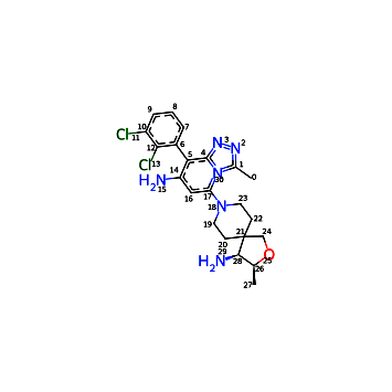 Cc1nnc2c(-c3cccc(Cl)c3Cl)c(N)cc(N3CCC4(CC3)CO[C@@H](C)[C@H]4N)n12